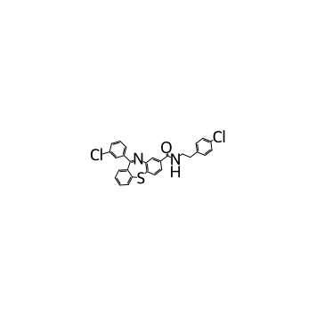 O=C(NCCc1ccc(Cl)cc1)c1ccc2c(c1)N=C(c1cccc(Cl)c1)c1ccccc1S2